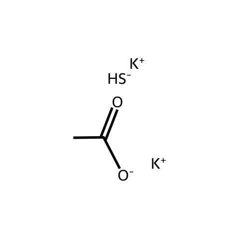 CC(=O)[O-].[K+].[K+].[SH-]